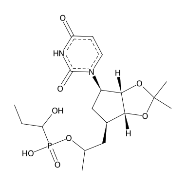 CCC(O)P(=O)(O)OC(C)C[C@H]1C[C@@H](n2ccc(=O)[nH]c2=O)[C@@H]2OC(C)(C)O[C@H]12